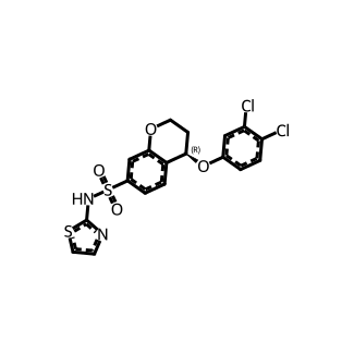 O=S(=O)(Nc1nccs1)c1ccc2c(c1)OCC[C@H]2Oc1ccc(Cl)c(Cl)c1